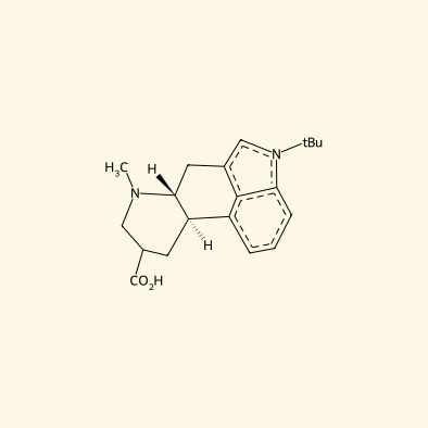 CN1CC(C(=O)O)C[C@@H]2c3cccc4c3c(cn4C(C)(C)C)C[C@H]21